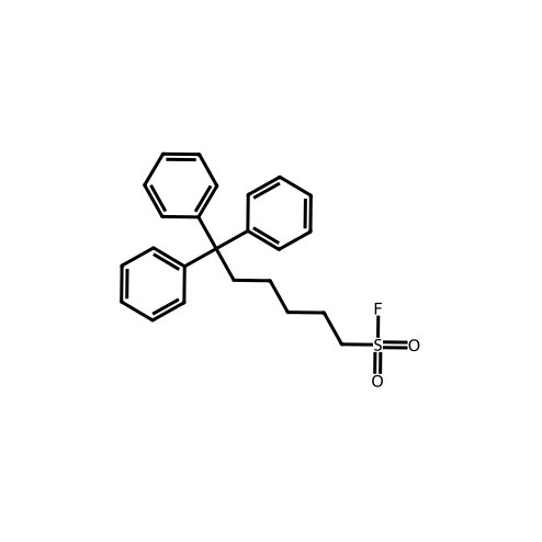 O=S(=O)(F)CCCCCC(c1ccccc1)(c1ccccc1)c1ccccc1